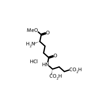 COC(=O)[C@@H](N)CCC(=O)N[C@H](CCC(=O)O)C(=O)O.Cl